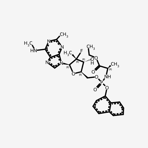 CCOC(=O)[C@@H](C)NP(=O)(OC[C@H]1O[C@@H](n2cnc3c(NC)nc(C)nc32)[C@](C)(F)[C@@H]1O)Oc1cccc2ccccc12